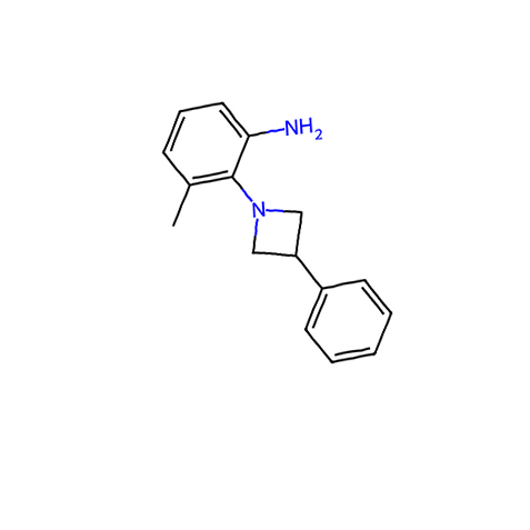 Cc1cccc(N)c1N1CC(c2ccccc2)C1